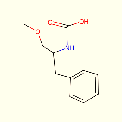 COCC(Cc1ccccc1)NC(=O)O